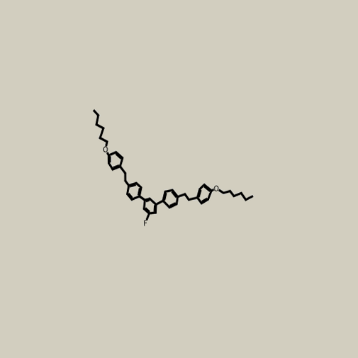 CCCCCCOc1ccc(CCc2ccc(-c3cc(F)cc(-c4ccc(CCc5ccc(OCCCCCC)cc5)cc4)c3)cc2)cc1